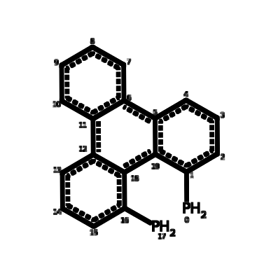 Pc1cccc2c3ccccc3c3cccc(P)c3c12